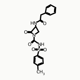 Cc1ccc(S(=O)(=O)NC(=O)N2CC(NC(=O)Cc3ccccc3)C2=O)cc1